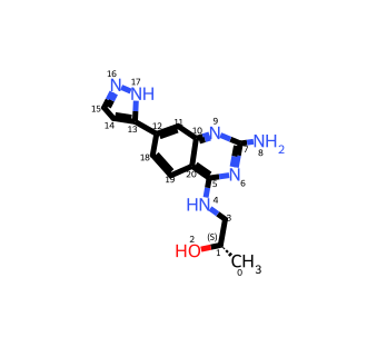 C[C@H](O)CNc1nc(N)nc2cc(-c3ccn[nH]3)ccc12